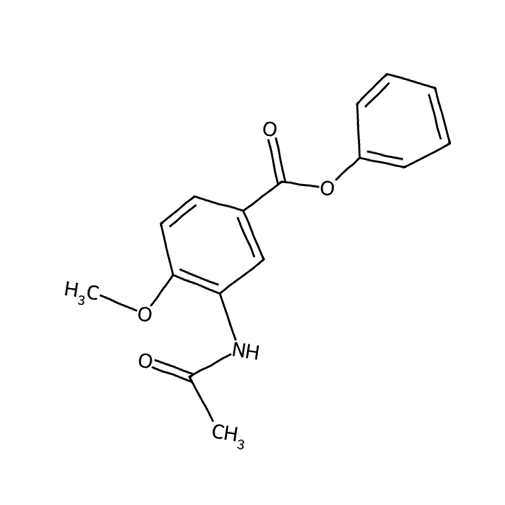 COc1ccc(C(=O)Oc2ccccc2)cc1NC(C)=O